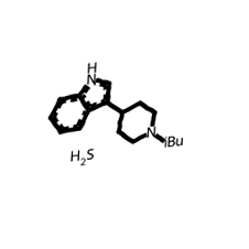 CCC(C)N1CCC(c2c[nH]c3ccccc23)CC1.S